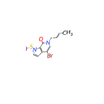 C/C=C/Cn1cc(Br)c2ccn(SI)c2c1=O